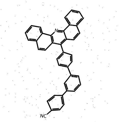 N#Cc1ccc(-c2cccc(-c3ccc(-c4c5ccc6ccccc6c5nc5c4ccc4ccccc45)cc3)c2)cc1